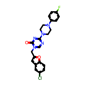 O=c1nc(N2CCN(c3ccc(F)cc3)CC2)ncn1Cc1cc2cc(Cl)ccc2o1